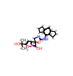 CC(C)(O)C1=CC2=P(=C(O)C23CN=C(Nc2c4c(cc5c2CCC5)CCC4)O3)O1